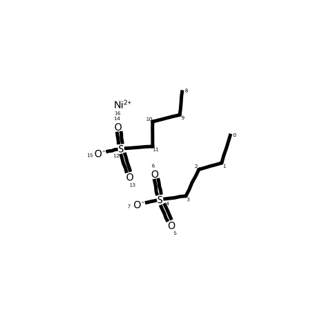 CCCCS(=O)(=O)[O-].CCCCS(=O)(=O)[O-].[Ni+2]